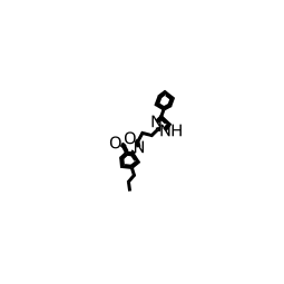 CCCc1ccc2c(=O)oc(CCc3nc(-c4ccccc4)c[nH]3)nc2c1